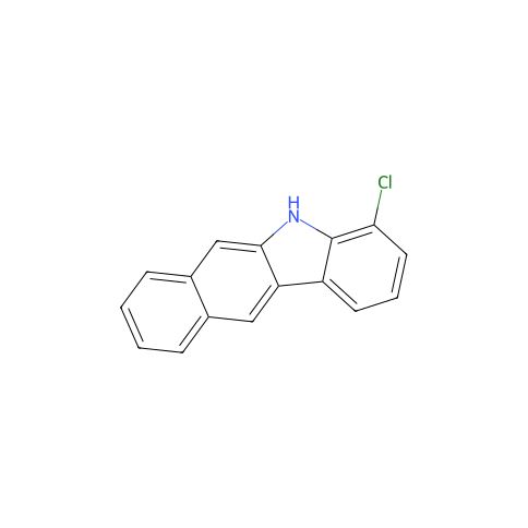 Clc1cccc2c1[nH]c1cc3ccccc3cc12